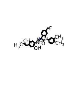 CC(C)=Cc1ccc(N/N=C2\C(=O)N(c3ccc(C)c(C)c3)c3cc(CF)ccc32)c(O)c1